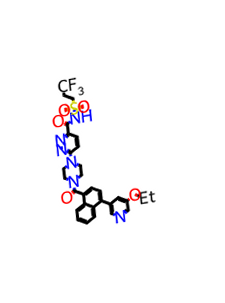 CCOc1cncc(-c2ccc(C(=O)N3CCN(c4ccc(C(=O)NS(=O)(=O)CCC(F)(F)F)nn4)CC3)c3ccccc23)c1